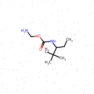 CCC(NC(=O)OCN)C(C)(C)C